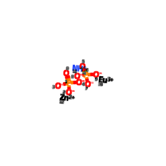 O=P([O-])([O-])[O-].O=P([O-])([O-])[O-].[Eu+3].[NH4+].[Zn+2]